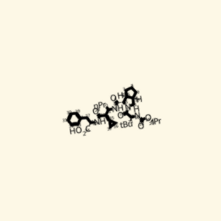 CCCC(NC(=O)[C@@H]1[C@H]2CCC[C@H]2CN1C(=O)[C@@H](NC(=O)OC(C)C)C(C)(C)C)C(C(=O)N[C@@H](Cc1ccccc1)C(=O)O)=C1CC1